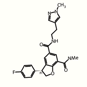 CNC(=O)c1cc(C(=O)NCCc2cnn(C)c2)cc2c1OC[C@@H]2c1ccc(F)cc1